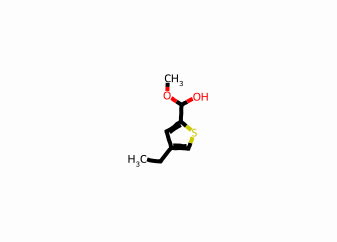 CCc1csc(C(O)OC)c1